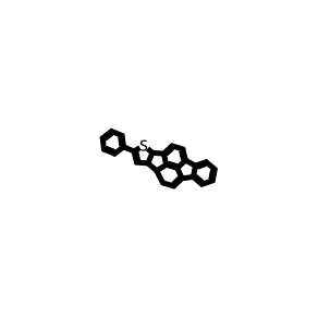 C1=C(c2ccccc2)SC2c3ccc4c5c3C(CC=C5c3ccccc3-4)C12